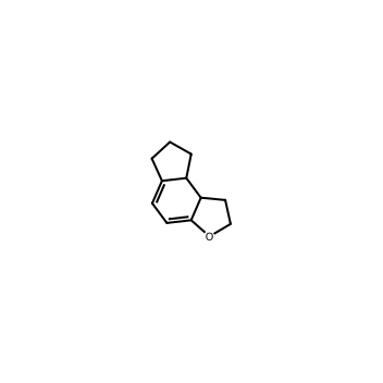 C1=C2CCCC2C2CCOC2=C1